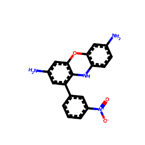 Nc1ccc2c(c1)Oc1cc(N)cc(-c3cccc([N+](=O)[O-])c3)c1N2